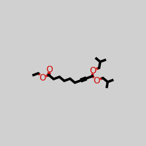 CCOC(=O)CCCCCC#CC(OCC(C)C)OCC(C)C